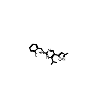 Cc1cc(-c2cnc(NCc3ccccc3Cl)nc2C(C)C)on1